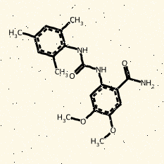 COc1cc(NC(=O)Nc2c(C)cc(C)cc2C)c(C(N)=O)cc1OC